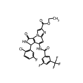 CCOC(=O)c1cn2c3c(c(NC(=O)c4cc(F)cc(C(F)(F)F)c4)cc2n1)C(c1cc(F)ccc1Cl)NC3=O